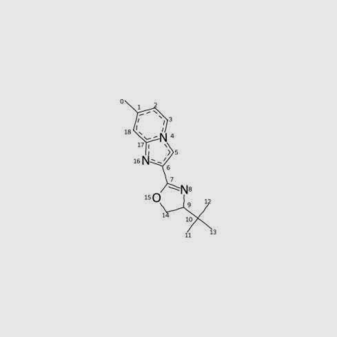 Cc1ccn2cc(C3=NC(C(C)(C)C)CO3)nc2c1